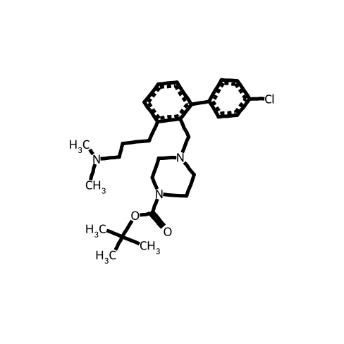 CN(C)CCCc1cccc(-c2ccc(Cl)cc2)c1CN1CCN(C(=O)OC(C)(C)C)CC1